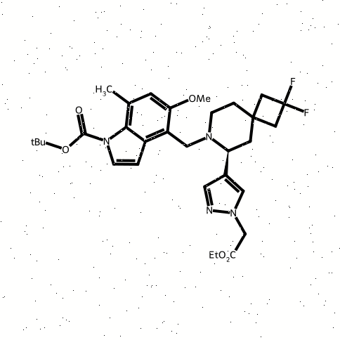 CCOC(=O)Cn1cc([C@@H]2CC3(CCN2Cc2c(OC)cc(C)c4c2ccn4C(=O)OC(C)(C)C)CC(F)(F)C3)cn1